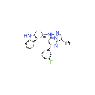 CC(C)c1cnn2c(N[C@@H]3CCc4[nH]c5ccccc5c4C3)cc(-c3cccc(F)c3)nc12